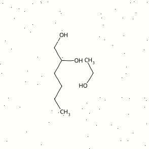 CCCCC(O)CO.CCO